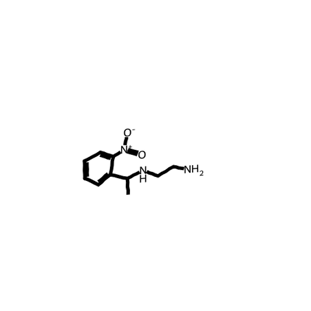 CC(NCCN)c1ccccc1[N+](=O)[O-]